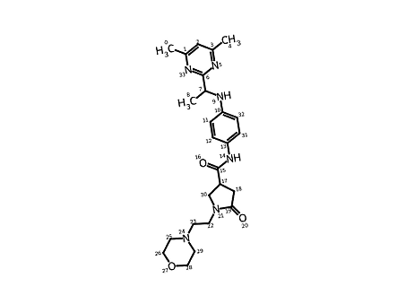 Cc1cc(C)nc(C(C)Nc2ccc(NC(=O)C3CC(=O)N(CCN4CCOCC4)C3)cc2)n1